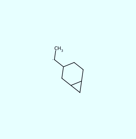 C[CH]C1CCC2CC2C1